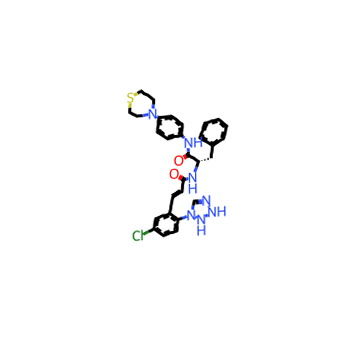 O=C(/C=C/c1cc(Cl)ccc1N1C=NNN1)N[C@@H](Cc1ccccc1)C(=O)Nc1ccc(N2CCSCC2)cc1